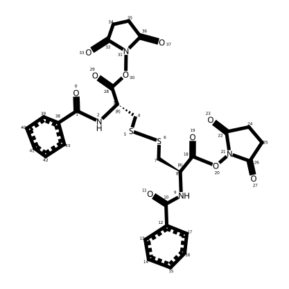 O=C(N[C@@H](CSSC[C@H](NC(=O)c1ccccc1)C(=O)ON1C(=O)CCC1=O)C(=O)ON1C(=O)CCC1=O)c1ccccc1